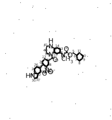 CN(C(=O)OCc1ccccc1)c1ccc2c(c1)N(C(=O)c1ccc(-c3ccc4[nH]ccc4c3)c([N+](=O)[O-])c1)CCCN2